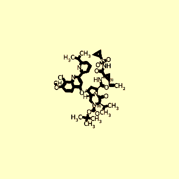 C=C[C@@H]1C[C@]1(NC(=O)[C@@H]1C[C@@H](Oc2cc(-c3cccc(C(C)C)n3)nc3c(Cl)c(OC)ccc23)[C@H]2CN(C(=O)OC(C)(C)C)[C@H](C(C)C)C(=O)N21)C(=O)NS(=O)(=O)C1CC1